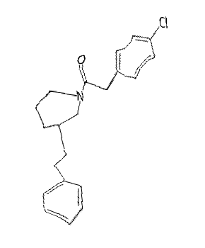 O=C(Cc1ccc(Cl)cc1)N1CCCC(CCc2ccccc2)C1